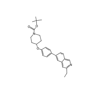 CCc1cc2cc(-c3ccc(OC4CCN(C(=O)OC(C)(C)C)CC4)cc3)ccc2cn1